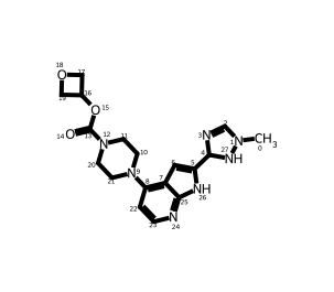 CN1C=NC(c2cc3c(N4CCN(C(=O)OC5COC5)CC4)ccnc3[nH]2)N1